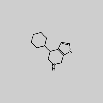 c1cc2c(s1)CNCC2C1CCCCC1